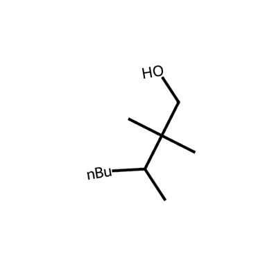 CCCCC(C)C(C)(C)CO